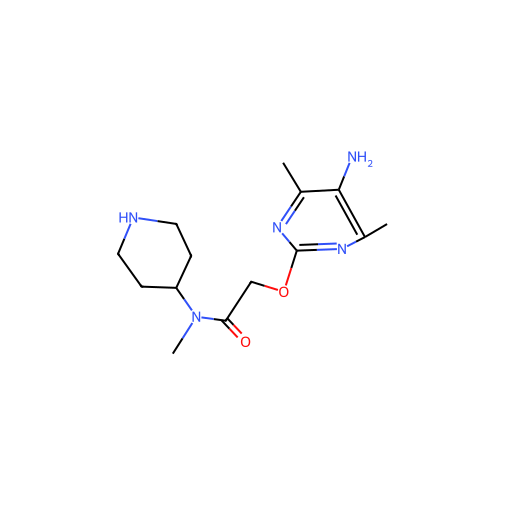 Cc1nc(OCC(=O)N(C)C2CCNCC2)nc(C)c1N